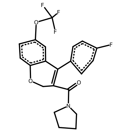 O=C(C1=C(c2ccc(F)cc2)c2cc(OC(F)(F)F)ccc2OC1)N1CCCC1